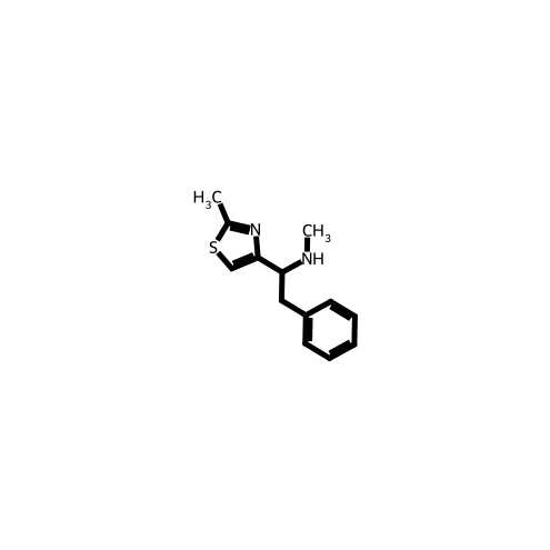 CNC(Cc1ccccc1)c1csc(C)n1